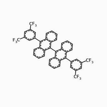 FC(F)(F)c1cc(-c2c3ccccc3c(-c3c4ccccc4c(-c4cc(C(F)(F)F)cc(C(F)(F)F)c4)c4ccccc34)c3ccccc23)cc(C(F)(F)F)c1